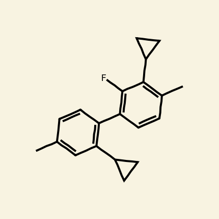 Cc1ccc(-c2ccc(C)c(C3CC3)c2F)c(C2CC2)c1